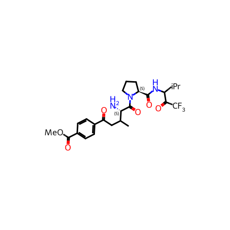 COC(=O)c1ccc(C(=O)CC(C)[C@H](N)C(=O)N2CCC[C@H]2C(=O)NC(C(=O)C(F)(F)F)C(C)C)cc1